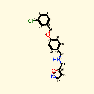 Clc1cccc(COc2ccc(CNCc3ccno3)cc2)c1